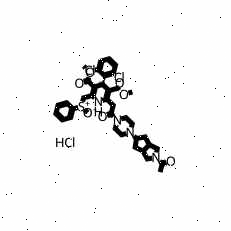 COC(=O)C1=C(CC(=O)N2CCN(C3CC4CN(C(C)=O)CC4C3)CC2)NC(C[S+]([O-])c2ccccc2)=C(C(=O)OC)[C@H]1c1c(Cl)cccc1Cl.Cl